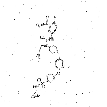 CC#CCN(C(=O)Nc1ccc(F)c(C(N)=O)c1)C1CCN(Cc2ccc(Oc3ccc(S(=O)(=O)NCCOC)cc3)nc2)CC1